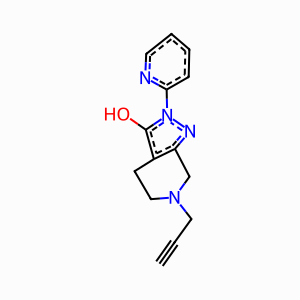 C#CCN1CCc2c(nn(-c3ccccn3)c2O)C1